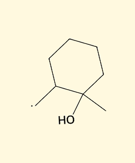 [CH2]C1CCCCC1(C)O